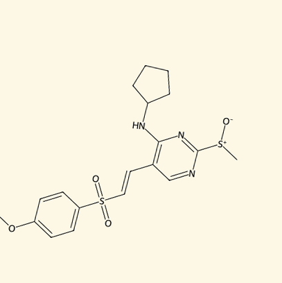 COc1ccc(S(=O)(=O)/C=C/c2cnc([S+](C)[O-])nc2NC2CCCC2)cc1